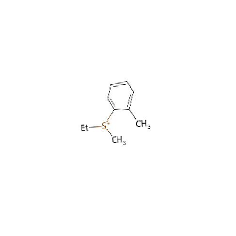 CC[S+](C)c1ccccc1C